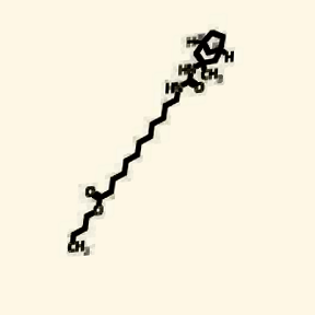 CCCCOC(=O)CCCCCCCCCCCNC(=O)NC1(C)C[C@@H]2CC[C@@H](C2)C1